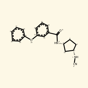 N#CN[C@H]1CC[C@@H](NC(=O)c2cccc(Oc3ccccc3)c2)C1